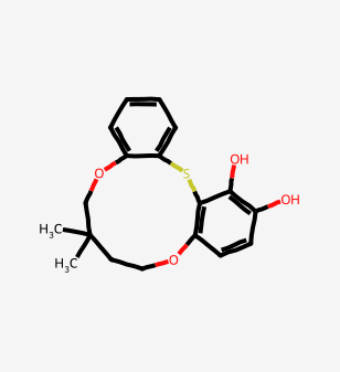 CC1(C)CCOc2ccc(O)c(O)c2Sc2ccccc2OC1